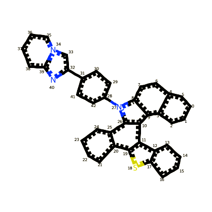 c1ccc2c(c1)ccc1c2c2c3c4ccccc4sc3c3ccccc3c2n1-c1ccc(-c2cn3ccccc3n2)cc1